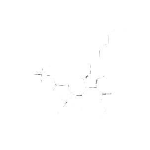 CCOC(=O)c1c(Cl)c(OCCCOC)nn1C[C@H](NC(=O)OC(C)(C)C)C(C)(C)C